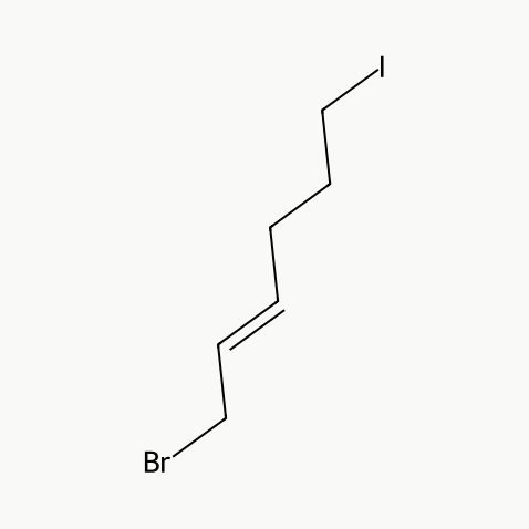 BrCC=CCCCI